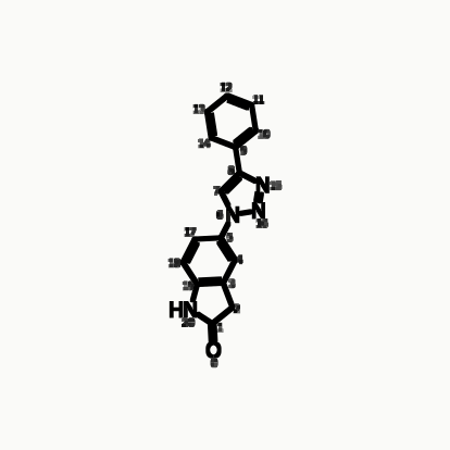 O=C1Cc2cc(-n3cc(-c4ccccc4)nn3)ccc2N1